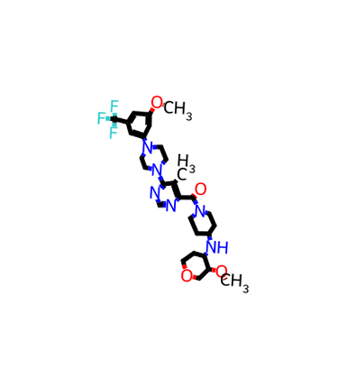 COc1cc(N2CCN(c3ncnc(C(=O)N4CCC(NC5CCOCC5OC)CC4)c3C)CC2)cc(C(F)(F)F)c1